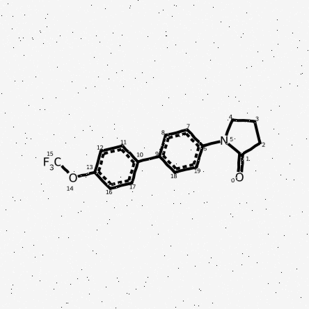 O=C1CCCN1c1ccc(-c2ccc(OC(F)(F)F)cc2)cc1